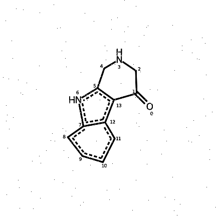 O=C1CNCc2[nH]c3ccccc3c21